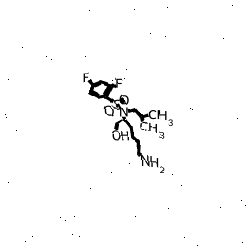 CC(C)CN([C@H](CO)CCCCN)S(=O)(=O)c1ccc(F)cc1F